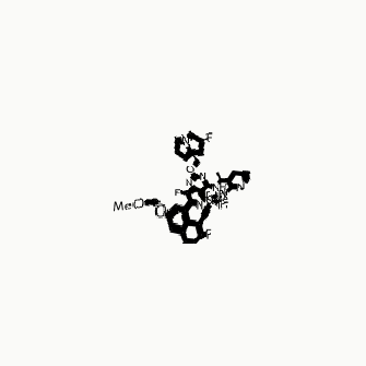 COCOc1cc(-c2nc(OC)c3c(N[C@@H](C)c4cccnc4N)nc(OC[C@@]45CCCN4C[C@H](F)C5)nc3c2F)c2c(C#C[Si](C(C)C)(C(C)C)C(C)C)c(F)ccc2c1